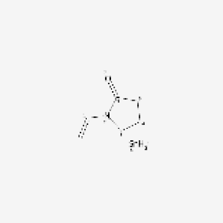 C=CN1CCCC1=O.[SnH2]